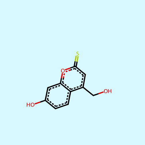 OCc1cc(=S)oc2cc(O)ccc12